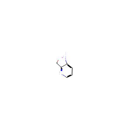 c1cnc2c(c1)NOC2